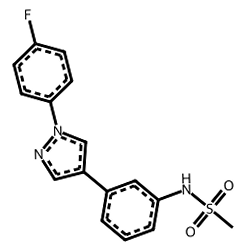 CS(=O)(=O)Nc1cccc(-c2cnn(-c3ccc(F)cc3)c2)c1